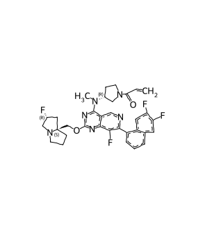 C=CC(=O)N1CC[C@@H](N(C)c2nc(OC[C@@]34CCCN3C[C@H](F)C4)nc3c(F)c(-c4cccc5cc(F)c(F)cc45)ncc23)C1